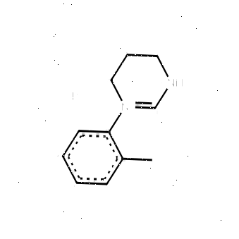 Cc1ccccc1[N+]1=CNCCC1.[Pt]